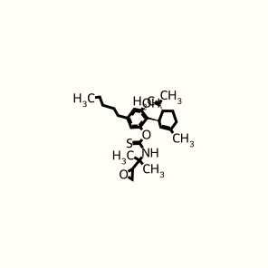 C=C(C)[C@@H]1CCC(C)=C[C@H]1c1c(O)cc(CCCCC)cc1OC(=S)NC(C)(C)C1CO1